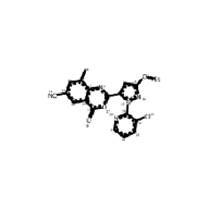 CCOc1cc(-c2nc3c(C)cc(C#N)cc3c(=O)o2)n(-c2ncccc2Cl)n1